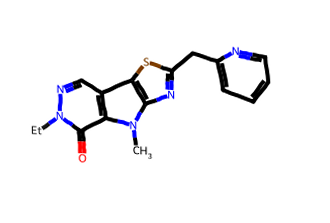 CCn1ncc2c3sc(Cc4ccccn4)nc3n(C)c2c1=O